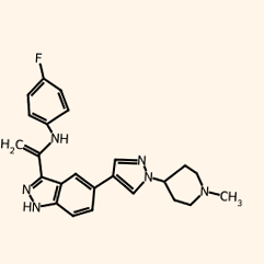 C=C(Nc1ccc(F)cc1)c1n[nH]c2ccc(-c3cnn(C4CCN(C)CC4)c3)cc12